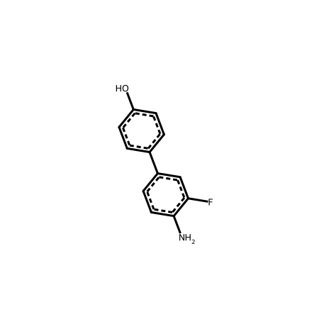 Nc1ccc(-c2ccc(O)cc2)cc1F